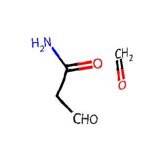 C=O.NC(=O)CC=O